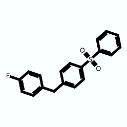 O=S(=O)(c1ccccc1)c1ccc(Cc2ccc(F)cc2)cc1